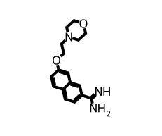 N=C(N)c1ccc2ccc(OCCN3CCOCC3)cc2c1